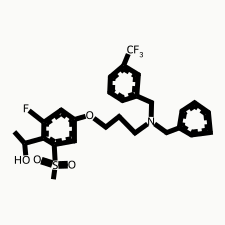 CC(O)c1c(F)cc(OCCCN(Cc2ccccc2)Cc2cccc(C(F)(F)F)c2)cc1S(C)(=O)=O